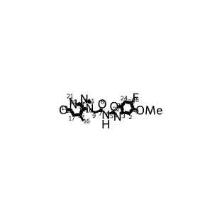 COc1cc2nc(NC(=O)Cn3cnc4c3c(C)cc(=O)n4C)oc2cc1F